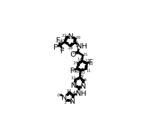 Cn1cnc(Nc2ncc(-c3cc(F)c(CC(=O)Nc4cncc(C(F)(F)F)c4)cc3F)cn2)c1